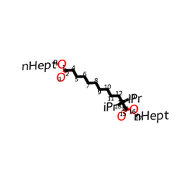 CCCCCCCOC(=O)CCCCCCCCCC(C(=O)OCCCCCCC)(C(C)C)C(C)C